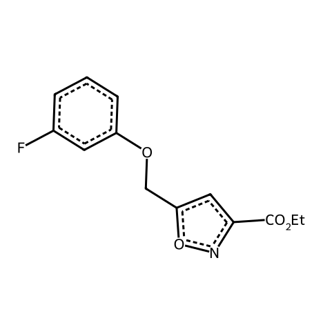 CCOC(=O)c1cc(COc2cccc(F)c2)on1